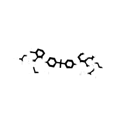 CCCCC(CC)COC(=O)c1cccc(Oc2ccc(C(C)(C)c3ccc(Oc4cccc(C(=O)OCC(CC)CCCC)c4C(=O)OCC(CC)CCCC)cc3)cc2)c1C(=O)OCC(CC)CCCC